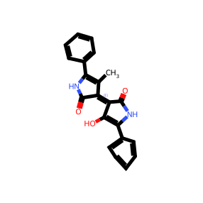 CC1=C(c2ccccc2)NC(=O)/C1=C1/C(=O)NC(c2ccccc2)=C1O